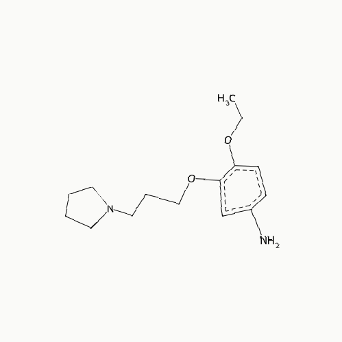 CCOc1ccc(N)cc1OCCCN1CCCC1